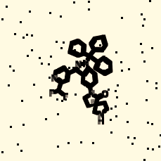 O=C1N(c2ccc3c(c2)c(-c2ccnc(C(F)F)c2)nn3C(c2ccccc2)(c2ccccc2)c2ccccc2)CC[C@]12CCNC2